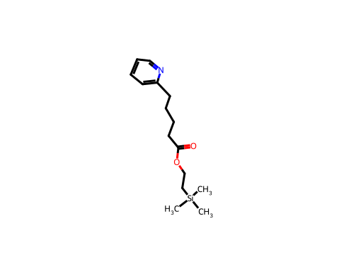 C[Si](C)(C)CCOC(=O)CCCCc1ccccn1